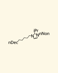 CCCCCCCCCCCCCCCN1C=CN(CCCCCCCCC)C1C(C)C